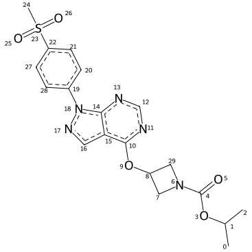 CC(C)OC(=O)N1CC(Oc2ncnc3c2cnn3-c2ccc(S(C)(=O)=O)cc2)C1